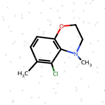 Cc1ccc2c(c1Cl)N(C)CCO2